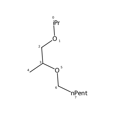 [CH2]C(C)OCC(C)OCCCCCC